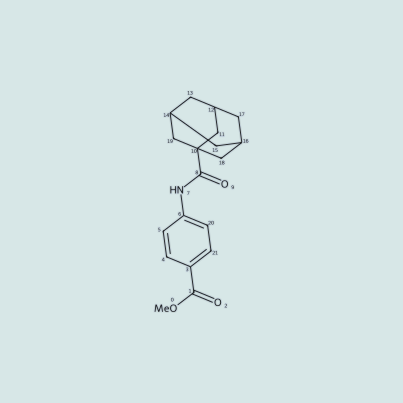 COC(=O)c1ccc(NC(=O)C23CC4CC(CC(C4)C2)C3)cc1